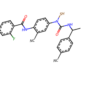 CC(NC(=O)N(S)c1ccc(NC(=O)c2ccccc2F)c(C#N)c1)c1ccc(C#N)cc1